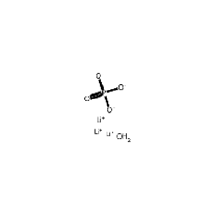 O.O=P([O-])([O-])[O-].[Li+].[Li+].[Li+]